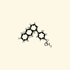 CSc1ccc(-c2cccc3cc4ccccc4cc23)cc1